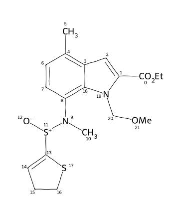 CCOC(=O)c1cc2c(C)ccc(N(C)[S+]([O-])C3=CCCS3)c2n1COC